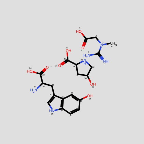 CN(CC(=O)O)C(=N)N.NC(Cc1c[nH]c2ccc(O)cc12)C(=O)O.O=C(O)C1CC(O)CN1